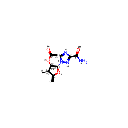 C=C1O[C@@H](n2cnc(C(N)=O)n2)[C@H](OC(C)=O)[C@@H]1C